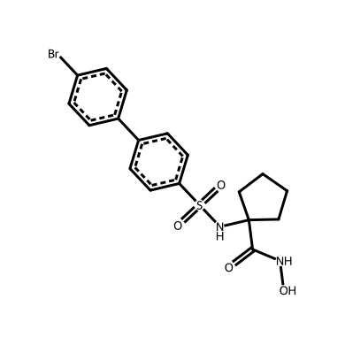 O=C(NO)C1(NS(=O)(=O)c2ccc(-c3ccc(Br)cc3)cc2)CCCC1